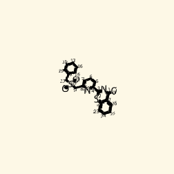 O=c1nc(-c2cccc(CS(=O)(=O)Cc3ccccc3)n2)sc2ccccc12